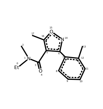 CCN(C)C(=O)c1c(-c2ccccc2C)noc1C